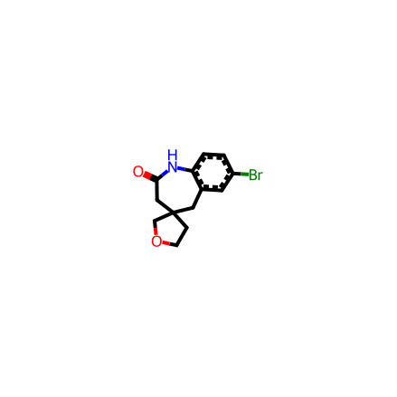 O=C1CC2(CCOC2)Cc2cc(Br)ccc2N1